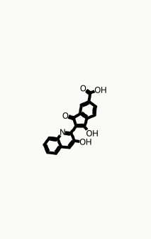 O=C(O)c1ccc2c(c1)C(=O)C(c1nc3ccccc3cc1O)=C2O